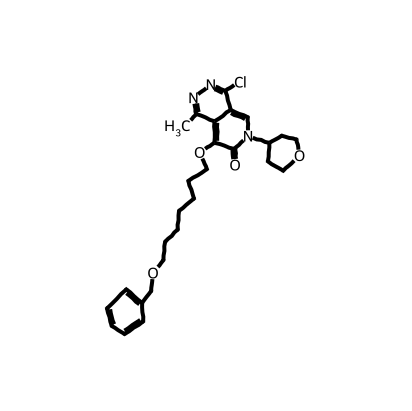 Cc1nnc(Cl)c2cn(C3CCOCC3)c(=O)c(OCCCCCCCOCc3ccccc3)c12